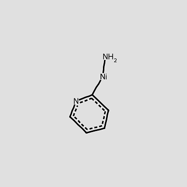 [NH2][Ni][c]1ccccn1